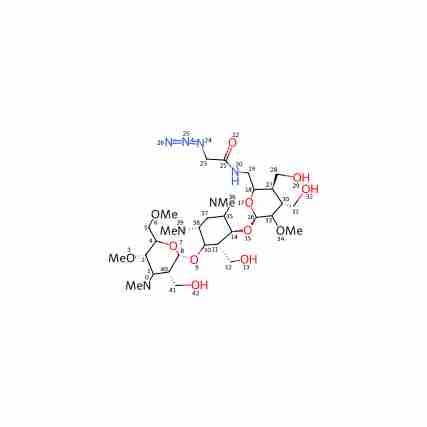 CNC1[C@H](OC)C(COC)O[C@H](OC2[C@@H](CO)[C@H](O[C@H]3OC(CNC(=O)CN=[N+]=[N-])[C@@H](CO)[C@H](CO)C3OC)C(NC)C[C@H]2NC)[C@@H]1CO